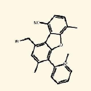 Cc1cc(CC(C)C)c2c(oc3c(C)ccc(C#N)c32)c1-c1cccc[n+]1C